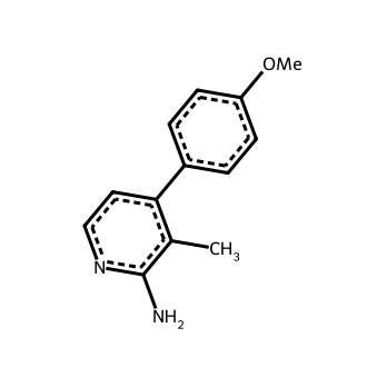 COc1ccc(-c2ccnc(N)c2C)cc1